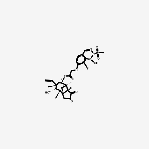 C=C[C@]1(C)C[C@@H](OC(=O)COc2ccc3c(c2F)B(O)N(S(C)(=O)=O)N=C3)[C@]2(C)[C@H](C)CC[C@]3(C[C@H](F)C(=O)[C@H]32)[C@@H](C)[C@@H]1O